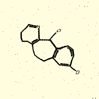 Clc1ccc2c(c1)CCC1=C(N=CCC1)C2Cl